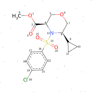 COC(=O)[C@H]1COC[C@@H](C2CC2)N1S(=O)(=O)c1ccc(Cl)cc1